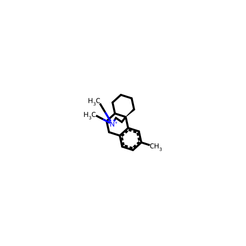 Cc1ccc2c(c1)[C@@]13CCCCC1C(C2)[N+](C)(C)CC3